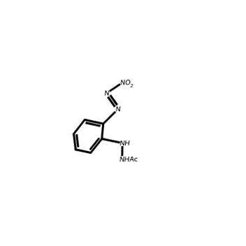 CC(=O)NNc1ccccc1/N=N/[N+](=O)[O-]